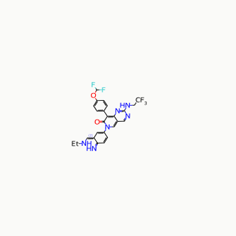 CCN/C=C1/C=C(n2cc3cnc(NCC(F)(F)F)nc3c(-c3ccc(OC(F)F)cc3)c2=O)C=CC1=N